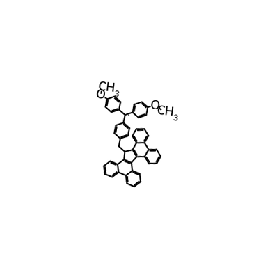 COc1ccc([C](c2ccc(CC3c4c(c5ccccc5c5ccccc45)-c4c3c3ccccc3c3ccccc43)cc2)c2ccc(OC)cc2)cc1